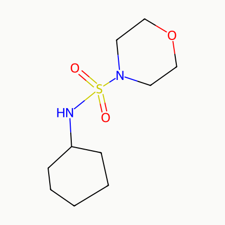 O=S(=O)(NC1CCCCC1)N1CCOCC1